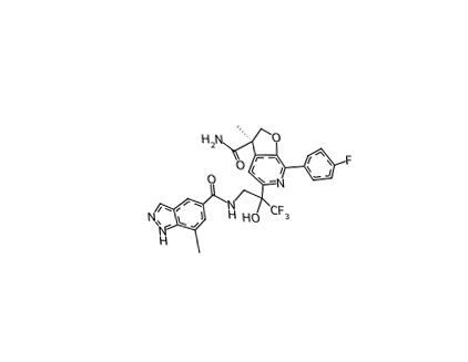 Cc1cc(C(=O)NCC(O)(c2cc3c(c(-c4ccc(F)cc4)n2)OC[C@]3(C)C(N)=O)C(F)(F)F)cc2cn[nH]c12